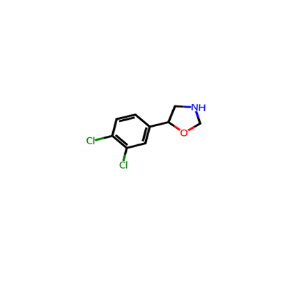 Clc1ccc(C2CNCO2)cc1Cl